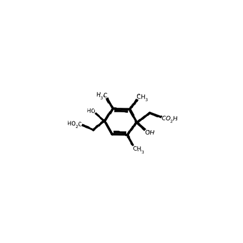 CC1=CC(O)(CC(=O)O)C(C)=C(C)C1(O)CC(=O)O